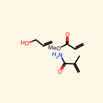 C=C(C)C(N)=O.C=CC(=O)OC.C=CCO